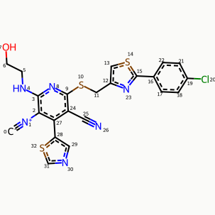 [C-]#[N+]c1c(NCCO)nc(SCc2csc(-c3ccc(Cl)cc3)n2)c(C#N)c1-c1cncs1